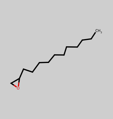 CCCCCCCCCCCC1CO1